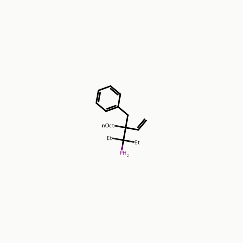 C=CC(CCCCCCCC)(Cc1ccccc1)C(P)(CC)CC